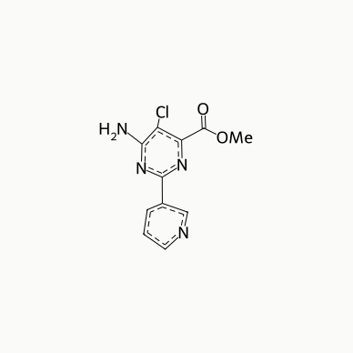 COC(=O)c1nc(-c2cccnc2)nc(N)c1Cl